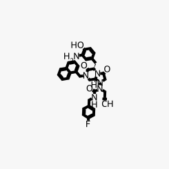 C#CCN(C(=O)NCc1ccc(F)cc1)N1CC(=O)N2[C@@H](Cc3ccc(O)c(N)c3)C(=O)N(Cc3cccc4ccccc34)C[C@@H]21